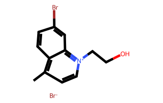 Cc1cc[n+](CCO)c2cc(Br)ccc12.[Br-]